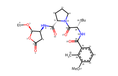 CCO[C@@H]1OC(=O)C[C@@H]1NC(=O)[C@@H]1CCCN1C(=O)[C@@H](NC(=O)c1cccc(OC)c1C)C(C)(C)C